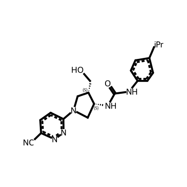 CC(C)c1ccc(NC(=O)N[C@@H]2CN(c3ccc(C#N)nn3)C[C@@H]2CO)cc1